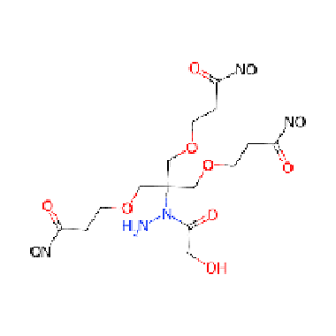 NN(C(=O)CO)C(COCCC(=O)N=O)(COCCC(=O)N=O)COCCC(=O)N=O